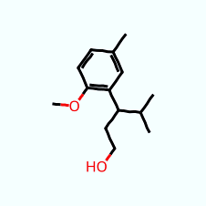 COc1ccc(C)cc1C(CCO)C(C)C